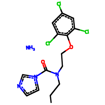 CCCN(CCOc1c(Cl)cc(Cl)cc1Cl)C(=O)n1ccnc1.N